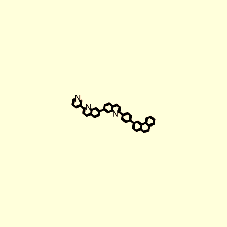 c1cncc(-c2ccc3ccc(-c4ccc5ccc(-c6ccc(-c7ccc8ccc9ccccc9c8c7)cc6)nc5c4)cc3n2)c1